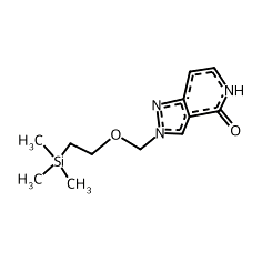 C[Si](C)(C)CCOCn1cc2c(=O)[nH]ccc2n1